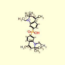 CCN1c2cc(P(=O)(O)c3ccc4c(c3)N(CC)C(C)(C)C=C4C)ccc2C(C)=CC1(C)C